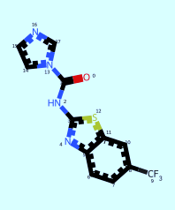 O=C(Nc1nc2ccc(C(F)(F)F)cc2s1)n1ccnc1